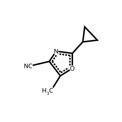 Cc1oc(C2CC2)nc1C#N